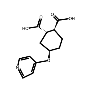 O=C(O)[C@H]1CC[C@@H](Oc2ccncc2)C[C@@H]1C(=O)O